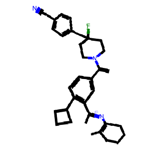 C=C(c1ccc(C2CCC2)c(/C(C)=N/C2=C(C)CCCC2)c1)N1CCC(F)(c2ccc(C#N)cc2)CC1